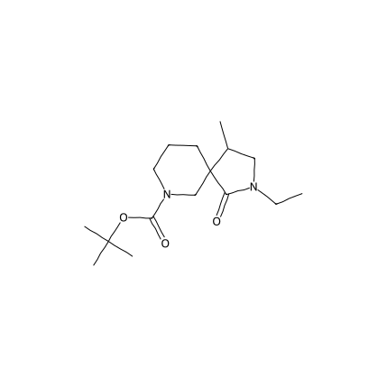 CCN1CC(C)C2(CCCN(C(=O)OC(C)(C)C)C2)C1=O